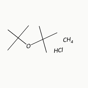 C.CC(C)(C)OC(C)(C)C.Cl